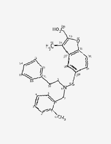 Cc1ccccc1CN(CCc1ccccc1)Sc1ccc2oc(C(=O)O)c(C)c2c1